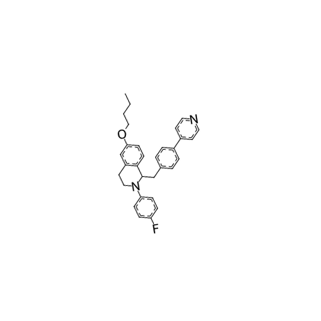 CCCCOc1ccc2c(c1)CCN(c1ccc(F)cc1)C2Cc1ccc(-c2ccncc2)cc1